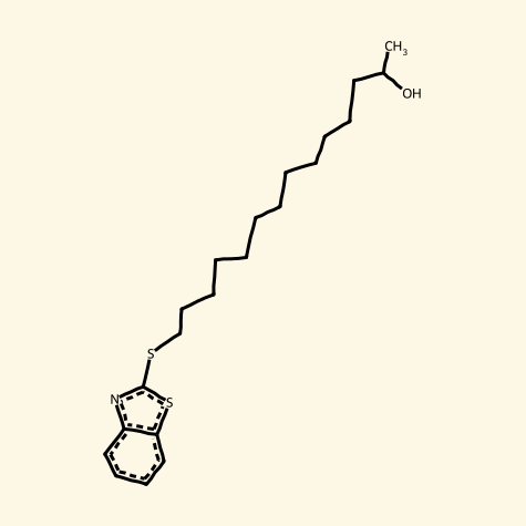 CC(O)CCCCCCCCCCCCSc1nc2ccccc2s1